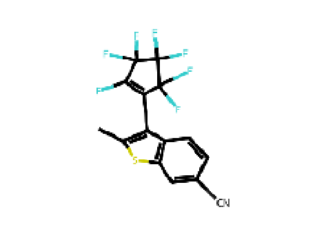 Cc1sc2cc(C#N)ccc2c1C1=C(F)C(F)(F)C(F)(F)C1(F)F